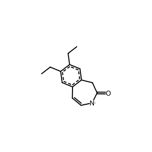 CCc1cc2c(cc1CC)CC(=O)[N]C=C2